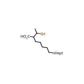 CCCCCCCCCCCCC(C(=O)O)C(C)S